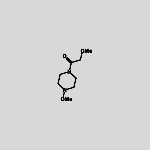 COCC(=O)N1CCN(OC)CC1